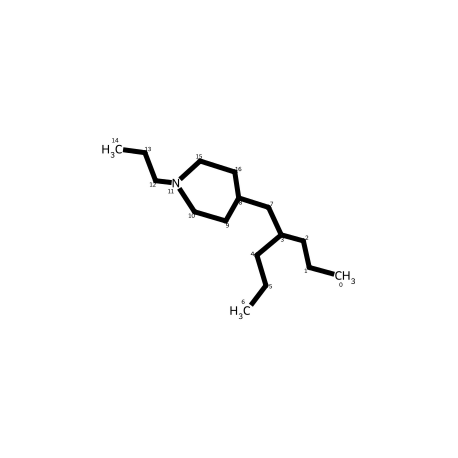 CCCC(CCC)CC1CCN(CCC)CC1